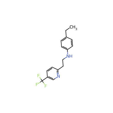 CCc1ccc(NCCc2ccc(C(F)(F)F)cn2)cc1